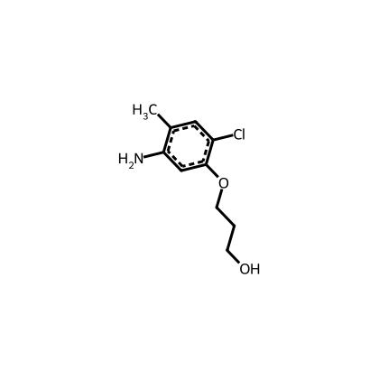 Cc1cc(Cl)c(OCCCO)cc1N